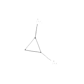 CC(=O)[C]1CC1C(C)=O